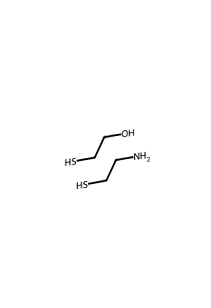 NCCS.OCCS